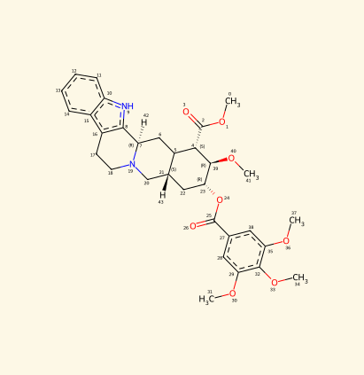 COC(=O)[C@H]1C2C[C@@H]3c4[nH]c5ccccc5c4CCN3C[C@H]2C[C@@H](OC(=O)c2cc(OC)c(OC)c(OC)c2)[C@@H]1OC